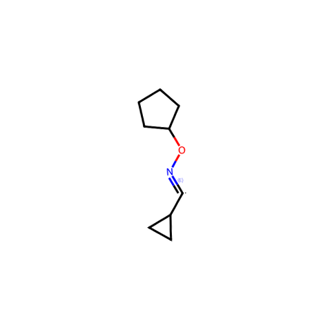 [C](=N\OC1CCCC1)/C1CC1